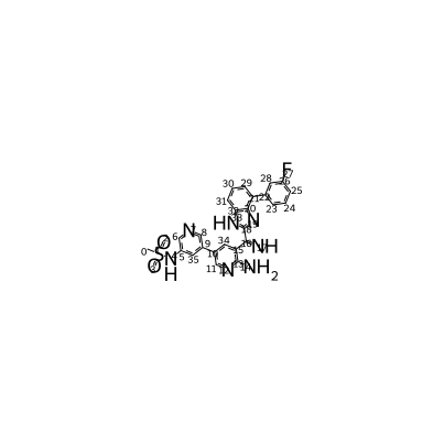 CS(=O)(=O)Nc1cncc(-c2cnc(N)c(C(=N)c3nc4c(-c5cccc(F)c5)cccc4[nH]3)c2)c1